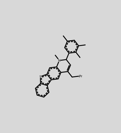 Cc1cc(C)c(C)c(C2C=C(CC(C)C)c3cc4c(cc3N2C)sc2ccccc24)c1